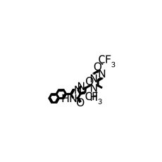 CC(NC(=O)c1nn2cc(-c3ccc4ccccc4c3)[nH]c(=O)c2c1C(F)(F)F)c1cnc(OCC(F)(F)F)cn1